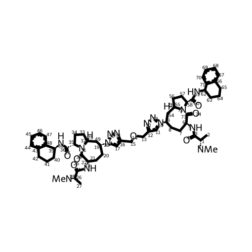 CN[C@@H](C)C(=O)N[C@H]1CC[C@@H](n2cc(COCc3cn([C@@H]4CC[C@H](NC(=O)[C@H](C)NC)C(=O)N5[C@H](CC[C@H]5C(=O)N[C@H]5CCCc6ccccc65)C4)nn3)nn2)C[C@H]2CC[C@@H](C(=O)NC3CCCc4ccccc43)N2C1=O